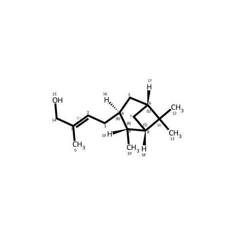 C/C(=C\C[C@H]1C[C@H]2C[C@@H]([C@@H]1C)C2(C)C)CO